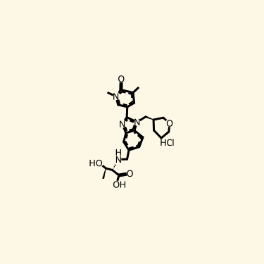 Cc1cc(-c2nc3cc(CN[C@H](C(=O)O)[C@@H](C)O)ccc3n2C[C@@H]2CCCOC2)cn(C)c1=O.Cl